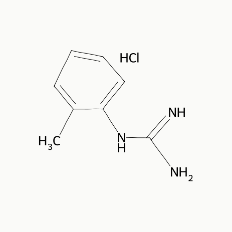 Cc1ccccc1NC(=N)N.Cl